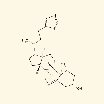 CC(CCc1cncs1)[C@H]1CC[C@H]2[C@@H]3CC=C4C[C@@H](O)CC[C@]4(C)[C@H]3CC[C@]12C